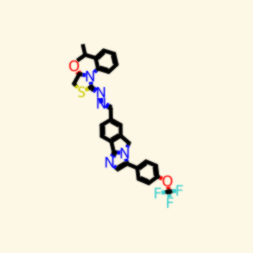 CC(C)c1ccccc1N1C(=O)CS/C1=N\N=C\c1ccc2c(c1)Cn1c(-c3ccc(OC(F)(F)F)cc3)cnc1-2